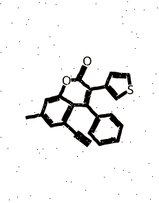 C#Cc1cc(C)cc2oc(=O)c(-c3ccsc3)c(-c3ccccc3)c12